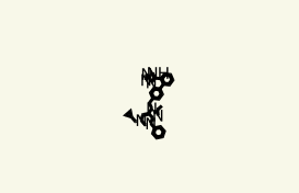 CC1N=C2C(=CN(CC3CC3)CN2c2ccccc2)N1Cc1ccc(-c2ccccc2-c2nnn[nH]2)cc1